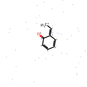 C/C=C1/C=CC=CC1=O